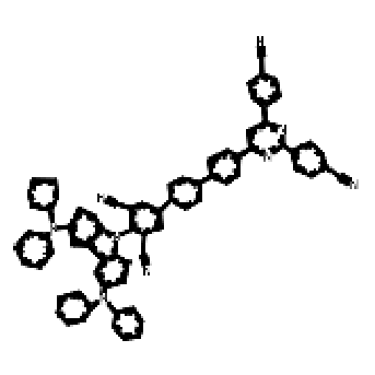 N#Cc1ccc(-c2cc(-c3ccc(-c4ccc(-c5cc(C#N)c(-n6c7ccc(N(c8ccccc8)c8ccccc8)cc7c7cc(N(c8ccccc8)c8ccccc8)ccc76)c(C#N)c5)cc4)cc3)nc(-c3ccc(C#N)cc3)n2)cc1